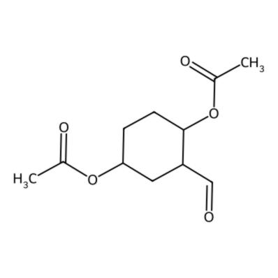 CC(=O)OC1CCC(OC(C)=O)C(C=O)C1